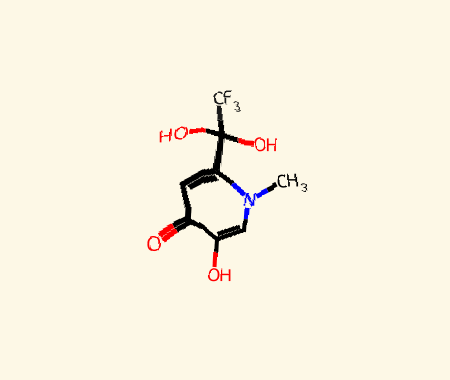 Cn1cc(O)c(=O)cc1C(O)(O)C(F)(F)F